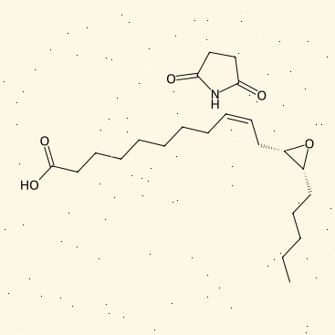 CCCCC[C@H]1O[C@H]1C/C=C\CCCCCCCC(=O)O.O=C1CCC(=O)N1